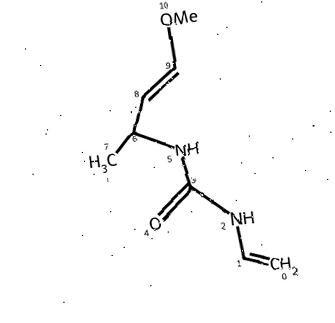 C=CNC(=O)NC(C)C=COC